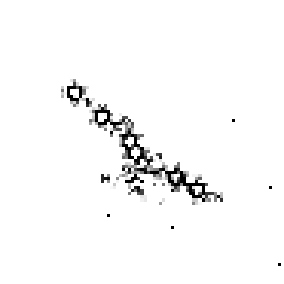 Cc1nc(N)sc1S(=O)(=O)N1Cc2cc3c(cc2CC1C(=O)NC(Cc1ccc(-c2ccc(C#N)cc2)cc1)C(=O)O)OCC(c1ccc(OCc2ccccc2)cc1)O3